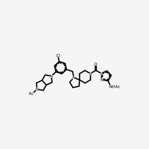 CC(=O)Nc1ccn(C(=O)N2CCC3(CCCN3Cc3cc(Cl)cc(N4CC5CN(C(C)=O)CC5C4)c3)CC2)n1